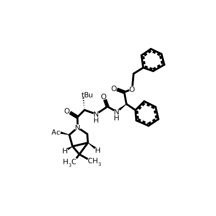 CC(=O)[C@@H]1[C@@H]2[C@H](CN1C(=O)[C@@H](NC(=O)N[C@@H](C(=O)OCc1ccccc1)c1ccccc1)C(C)(C)C)C2(C)C